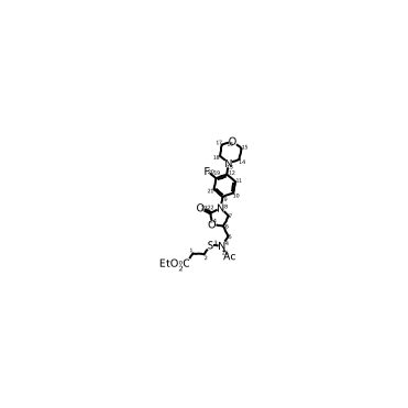 CCOC(=O)CCSN(CC1CN(c2ccc(N3CCOCC3)c(F)c2)C(=O)O1)C(C)=O